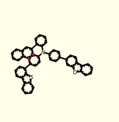 c1ccc(N(c2ccc(-c3ccc4c(c3)oc3ccccc34)cc2)c2ccc(-c3cccc4c3sc3ccccc34)cc2)c(-c2ccc3ccccc3c2)c1